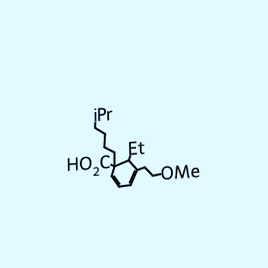 CCC1C(CCOC)=CC=CC1(CCCCC(C)C)C(=O)O